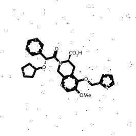 COc1ccc2c(c1OCc1cccs1)C[C@H](C(=O)O)N(C(=O)[C@H](OC1CCCC1)c1ccccc1)C2